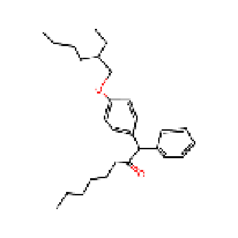 CCCCCCC(=O)C(c1ccccc1)c1ccc(OCC(CC)CCCC)cc1